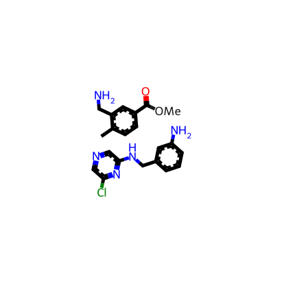 COC(=O)c1ccc(C)c(CN)c1.Nc1cccc(CNc2cncc(Cl)n2)c1